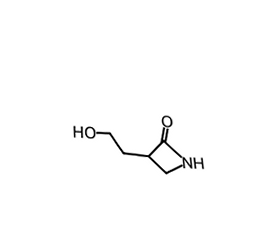 O=C1NCC1CCO